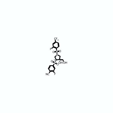 N#Cc1ccc(S(=O)(=O)[C@H]2CN(S(=O)(=O)c3ccc(C(F)(F)F)cc3F)C[C@@]2(O)CO)cc1F